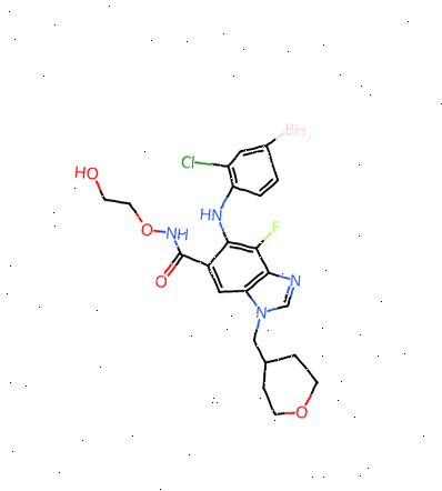 Bc1ccc(Nc2c(C(=O)NOCCO)cc3c(ncn3CC3CCOCC3)c2F)c(Cl)c1